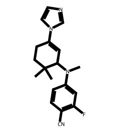 CN(c1ccc(C#N)c(F)c1)C1C=C(n2ccnc2)CCC1(C)C